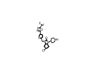 O=c1n(Cc2ccc(-c3nnc(C(F)F)o3)cn2)c2cc(Cl)ccc2n1C1CCNCC1